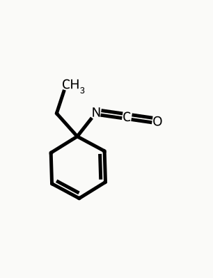 CCC1(N=C=O)C=CC=CC1